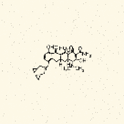 CN(C)C1C(O)=C(C(N)=O)C(=O)[C@@]2(O)C(O)=C3C(=O)c4c(O)ccc(CN(CC5CC5)CC5CC5)c4C[C@H]3C[C@@H]12